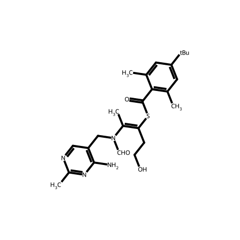 CC(=C(CCO)SC(=O)c1c(C)cc(C(C)(C)C)cc1C)N(C=O)Cc1cnc(C)nc1N